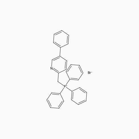 [Br-].c1ccc(-c2ccc(C[P+](c3ccccc3)(c3ccccc3)c3ccccc3)nc2)cc1